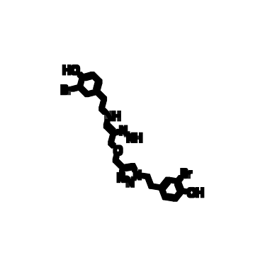 N=N/C(=C\NCCC1=CC=C(O)C(Br)C1)COCc1cn(CCc2ccc(O)c(Br)c2)nn1